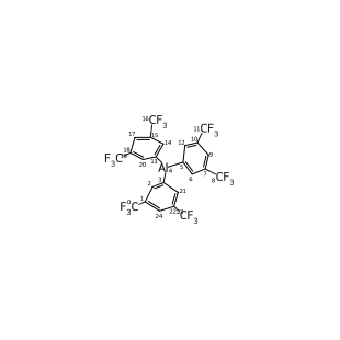 FC(F)(F)c1c[c]([Al]([c]2cc(C(F)(F)F)cc(C(F)(F)F)c2)[c]2cc(C(F)(F)F)cc(C(F)(F)F)c2)cc(C(F)(F)F)c1